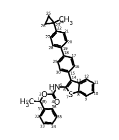 C[C@@H](OC(=O)Nc1sc2ccccc2c1-c1ccc(-c2ccc(C3(C)CC3)cc2)cc1)c1ccccc1